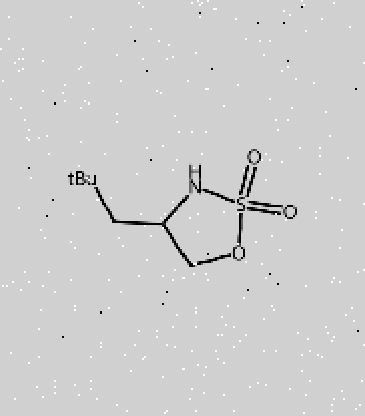 CC(C)(C)CC1COS(=O)(=O)N1